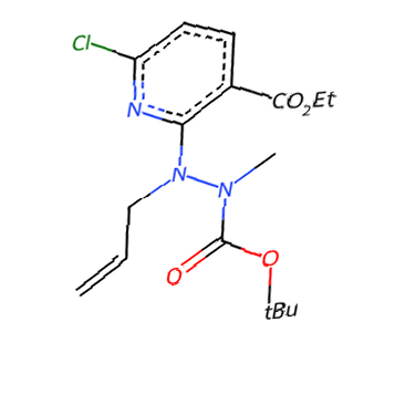 C=CCN(c1nc(Cl)ccc1C(=O)OCC)N(C)C(=O)OC(C)(C)C